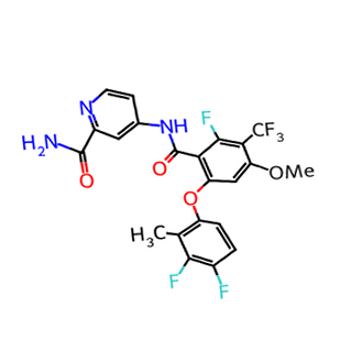 COc1cc(Oc2ccc(F)c(F)c2C)c(C(=O)Nc2ccnc(C(N)=O)c2)c(F)c1C(F)(F)F